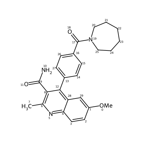 COc1ccc2nc(C)c(C(N)=O)c(-c3ccc(C(=O)N4CCCCCC4)cc3)c2c1